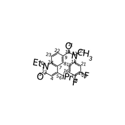 CCn1c(=O)cc(C(C)C)c2cc(C(=O)N(C)c3ccc(F)c(F)c3)ccc21